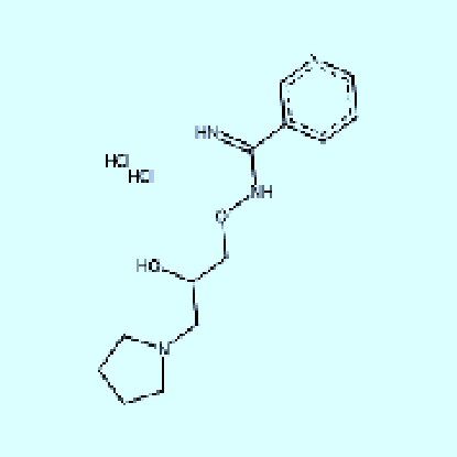 Cl.Cl.N=C(NOCC(O)CN1CCCC1)c1cccnc1